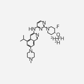 [2H]C([2H])([2H])O[C@@H]1CCN(c2nccc(Nc3cc4c(C(C)C)cc(N5CCN(C)CC5)cc4cn3)n2)C[C@@H]1F